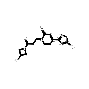 CC1CN(C(=O)CCn2ccc(-c3noc(C(F)(F)F)n3)cc2=O)C1